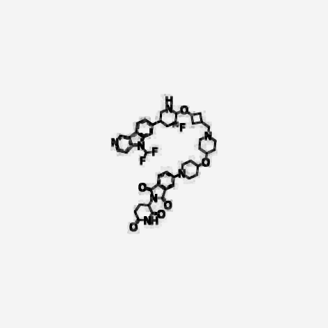 O=C1CCC(N2C(=O)c3ccc(N4CCC(OC5CCN(CC6CC(OC7NCC(c8ccc9c%10cnccc%10n(C(F)F)c9c8)C[C@H]7F)C6)CC5)CC4)cc3C2=O)C(=O)N1